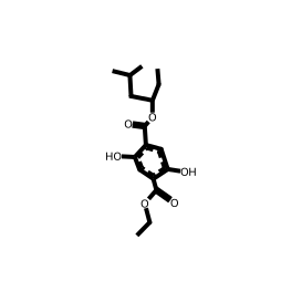 CCOC(=O)c1cc(O)c(C(=O)OC(CC)CC(C)C)cc1O